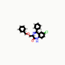 O=C1Nc2ccc(Cl)cc2C(c2ccccc2)=NC1COCc1ccccc1